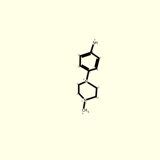 CN1CCN(c2ccc(S)cc2)CC1